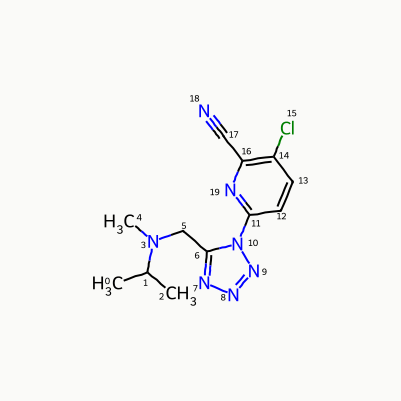 CC(C)N(C)Cc1nnnn1-c1ccc(Cl)c(C#N)n1